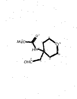 COC(=O)NC1(CC=O)CCOCC1